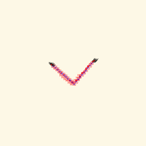 O=[N+]([O-])O.O=[N+]([O-])O.O=[N+]([O-])O.O=[N+]([O-])O.O=[N+]([O-])O.O=[N+]([O-])O.O=[N+]([O-])O.O=[N+]([O-])O.O=[N+]([O-])O.O=[N+]([O-])O.O=[N+]([O-])[O-].O=[N+]([O-])[O-].O=[N+]([O-])[O-].O=[N+]([O-])[O-].O=[N+]([O-])[O-].O=[N+]([O-])[O-].O=[N+]([O-])[O-].O=[N+]([O-])[O-].O=[N+]([O-])[O-].O=[N+]([O-])[O-].[Na+].[Na+].[Na+].[Na+].[Na+].[Na+].[Na+].[Na+].[Na+].[Na+]